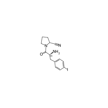 N#CC1CCCN1C(=O)[C@@H](N)Cc1ccc(I)cc1